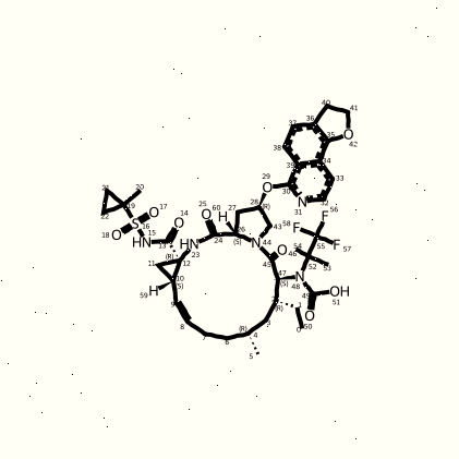 CC[C@@H]1C[C@H](C)CCC=C[C@@H]2C[C@@]2(C(=O)NS(=O)(=O)C2(C)CC2)NC(=O)[C@@H]2C[C@@H](Oc3nccc4c5c(ccc34)CCO5)CN2C(=O)[C@H]1N(C(=O)O)C(C)(C)C(F)(F)F